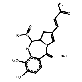 CC(=O)Oc1c(C)ccc2c1NC(S(=O)O)C1CC(/C=C/C(N)=O)=CN1C2=O.[NaH]